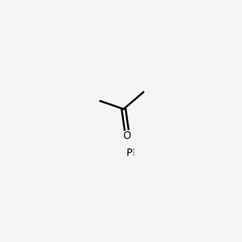 CC(C)=O.[P]